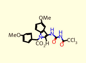 COc1ccc(Cn2c(C(=O)O)c(NC(=O)NC(=O)C(Cl)(Cl)Cl)c3cc(OC)ccc32)cc1